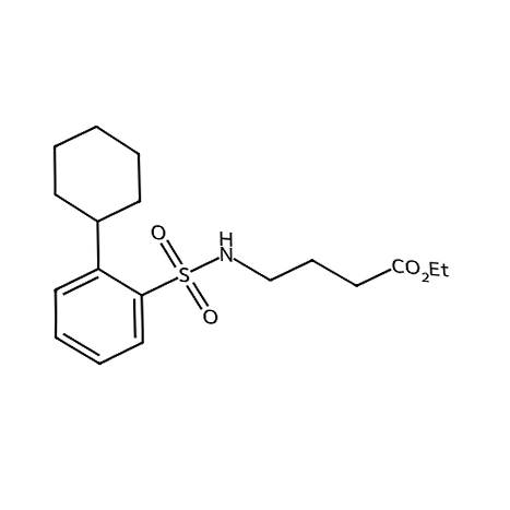 CCOC(=O)CCCNS(=O)(=O)c1ccccc1C1CCCCC1